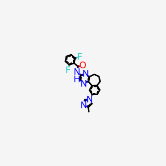 Cc1cn(-c2ccc3c(c2)-c2ncc(NC(=O)c4c(F)cccc4F)nc2CCC3)cn1